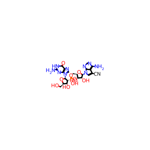 N#Cc1cn([C@@H]2O[C@H](COP(=O)(O)[C@@H]3[C@H](O)[C@@H](CO)O[C@H]3n3cnc4c(=O)[nH]c(N)nc43)[C@@H](O)[C@H]2O)c2ncnc(N)c12